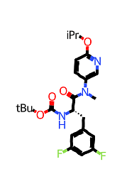 CC(C)Oc1ccc(N(C)C(=O)[C@H](Cc2cc(F)cc(F)c2)NC(=O)OC(C)(C)C)cn1